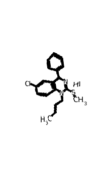 CCCCN1C(SC)=NC(c2ccccc2)c2cc(Cl)ccc21.I